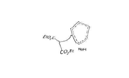 CCOC(=O)C(C(=O)OCC)c1ccccc1.[NaH]